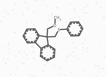 COCC1(CSc2ccccc2)c2ccccc2-c2ccccc21